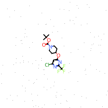 CC(C)(C)OC(=O)N1CCC(Oc2cc(Cl)nc(C(F)(F)F)n2)CC1